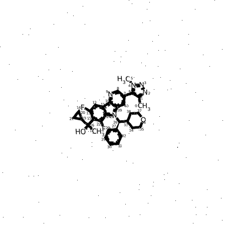 Cc1nnn(C)c1-c1cnc2c3cc(F)c(C(C)(O)C4CC4)c(F)c3n([C@H](c3ccccc3)C3CCOCC3)c2c1